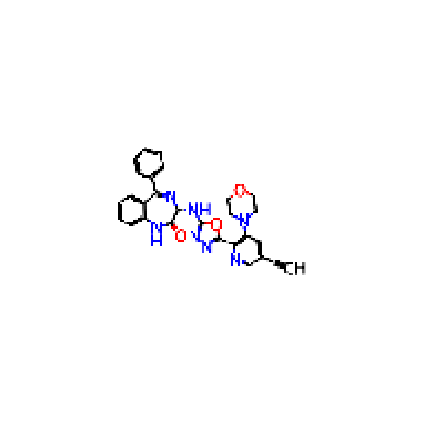 C#Cc1cnc(-c2nnc(N[C@H]3N=C(c4ccccc4)c4ccccc4NC3=O)o2)c(N2CCOCC2)c1